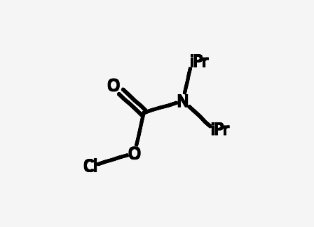 CC(C)N(C(=O)OCl)C(C)C